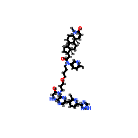 Cc1ccc(N(CCCCOCCCN2C(=O)CNc3ncc(-c4ccc(-c5nc[nH]n5)nc4C)nc32)C(=O)CC2CCC3C4CCC5N(C)C(=O)C=C[C@@]5(C)C4CC[C@@]23C)cn1